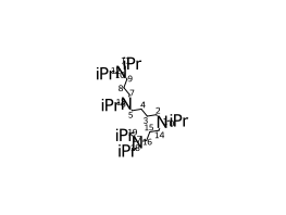 CC(C)N(CCCCN(CCCN(C(C)C)C(C)C)C(C)C)CCCN(C(C)C)C(C)C